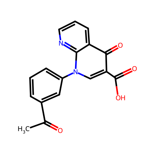 CC(=O)c1cccc(-n2cc(C(=O)O)c(=O)c3cccnc32)c1